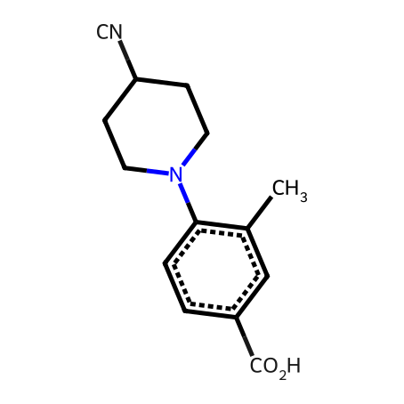 [C-]#[N+]C1CCN(c2ccc(C(=O)O)cc2C)CC1